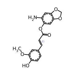 COc1cc(/C=C/C(=O)Oc2cc3c(cc2N)OCO3)ccc1O